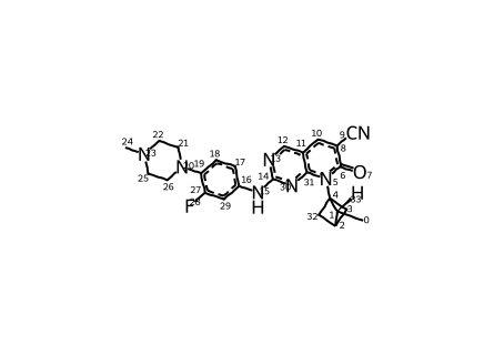 C[C@@H]1C2CC1(n1c(=O)c(C#N)cc3cnc(Nc4ccc(N5CCN(C)CC5)c(F)c4)nc31)C2